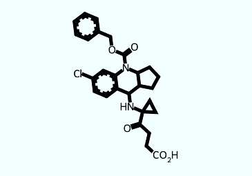 O=C(O)CCC(=O)C1(NC2c3ccc(Cl)cc3N(C(=O)OCc3ccccc3)C3CCCC23)CC1